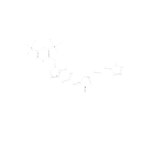 O=C1N=C(NCCn2cncn2)S/C1=C\c1ccc2c(cnn2Cc2ccc(C(F)(F)F)cc2C(F)(F)F)c1